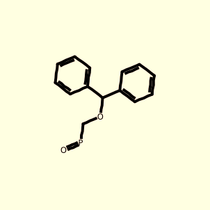 O=PCOC(c1ccccc1)c1ccccc1